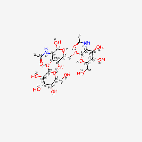 CC(=O)N[C@H]1[C@H](OC[C@H]2OC(O)[C@H](NC(C)=O)[C@@H](O[C@@H]3O[C@H](CO)[C@H](O)[C@H](O)[C@H]3O)[C@H]2O)O[C@H](CO)[C@@H](O)[C@@H]1O